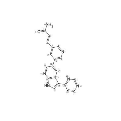 NC(=O)C=Cc1cncc(-c2cnc3[nH]cc(-c4ccncn4)c3c2)c1